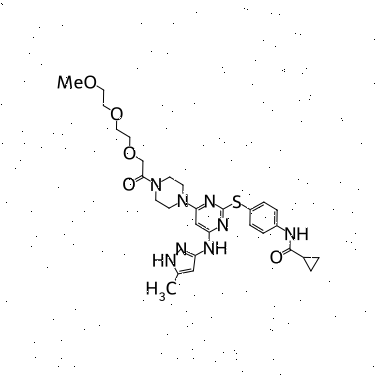 COCCOCCOCC(=O)N1CCN(c2cc(Nc3cc(C)[nH]n3)nc(Sc3ccc(NC(=O)C4CC4)cc3)n2)CC1